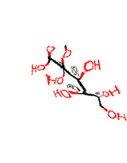 CO[C@@](O)(C(=O)O)[C@@H](O)[C@H](O)[C@H](O)CO